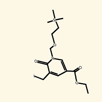 CCOC(=O)c1cc(CI)c(=O)n(COCC[Si](C)(C)C)c1